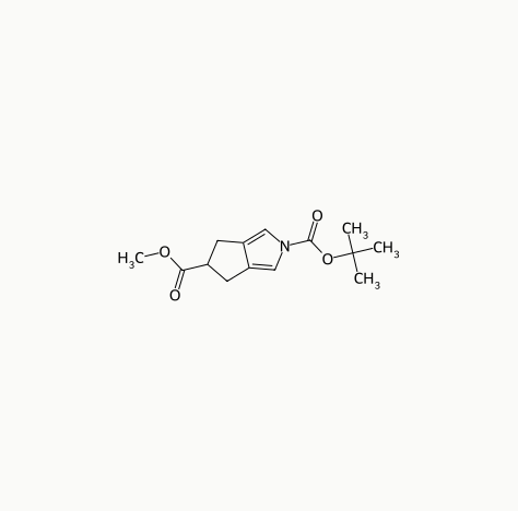 COC(=O)C1Cc2cn(C(=O)OC(C)(C)C)cc2C1